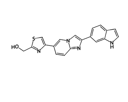 OCc1nc(-c2ccc3nc(-c4ccc5cc[nH]c5c4)cn3c2)cs1